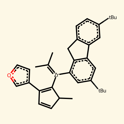 C[C](C)=[Zr]([C]1=C(c2ccoc2)C=CC1C)[c]1cc(C(C)(C)C)cc2c1Cc1ccc(C(C)(C)C)cc1-2